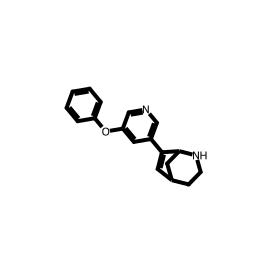 C1=C(c2cncc(Oc3ccccc3)c2)C2CC1CCN2